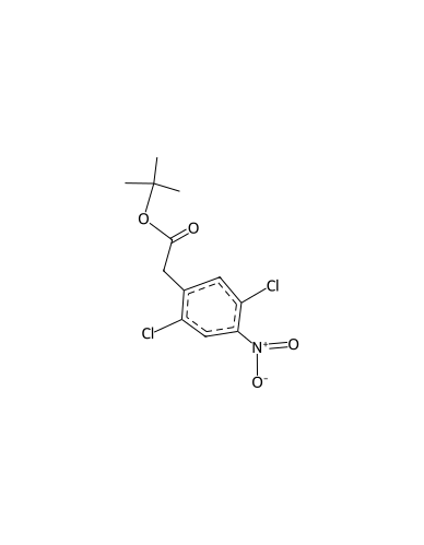 CC(C)(C)OC(=O)Cc1cc(Cl)c([N+](=O)[O-])cc1Cl